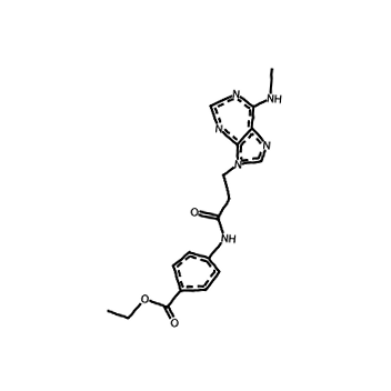 CCOC(=O)c1ccc(NC(=O)CCn2cnc3c(NC)ncnc32)cc1